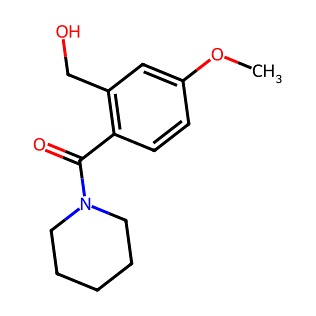 COc1ccc(C(=O)N2CCCCC2)c(CO)c1